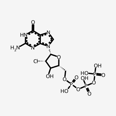 Nc1nc2c(ncn2[C@@H]2O[C@H](COP(=O)(O)OP(=O)(O)OP(=O)(O)O)C(O)[C@@H]2Cl)c(=O)[nH]1